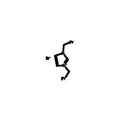 CC(C)Cn1cc[n+](CC(C)C)c1.[Br-]